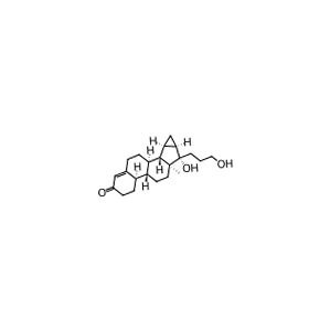 C[C@]12CC[C@H]3[C@@H](CCC4=CC(=O)CC[C@@H]43)[C@@H]1[C@H]1C[C@H]1[C@@]2(O)CCCO